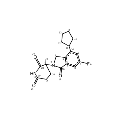 CC1(N2Cc3c(cc(F)cc3C3CCCC3)C2=O)CCC(=O)NC1=O